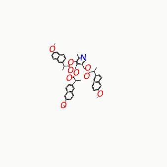 COc1ccc2cc(C(C)C(=O)OCc3cnc(C)c(OC(=O)C(C)c4ccc5cc(OC)ccc5c4)c3COC(=O)C(C)c3ccc4cc(OC)ccc4c3)ccc2c1